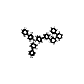 C1=C2C(=CCC1)c1ccccc1N1C3=C2CCCC3c2cc(-c3ccc(N(c4ccc(-c5ccccc5)cc4)c4ccc(-c5ccccc5)cc4)cc3)ccc21